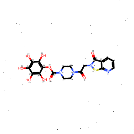 O=C(Cn1sc2ncccc2c1=O)N1CCN(C(=O)Oc2c(O)c(O)c(O)c(O)c2O)CC1